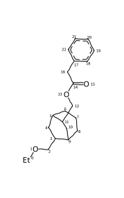 CCOCC1CC2CCCC1CC2COC(=O)Cc1ccccc1